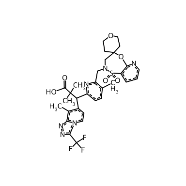 Cc1ccc(C(c2ccn3c(C(F)(F)F)nnc3c2C)C(C)(C)C(=O)O)nc1CN1CC2(CCOCC2)Oc2ncccc2S1(=O)=O